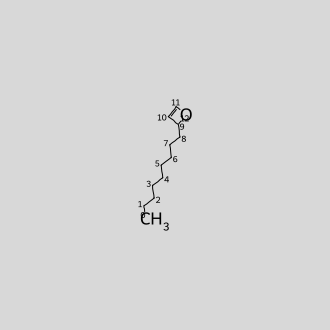 CCCCCCCCCC1C=CO1